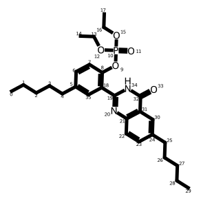 CCCCCc1ccc(OP(=O)(OCC)OCC)c(-c2nc3ccc(CCCCC)cc3c(=O)[nH]2)c1